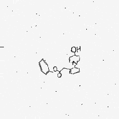 O=C(Cc1ccccc1N1CCC(O)CC1)OCc1ccccc1